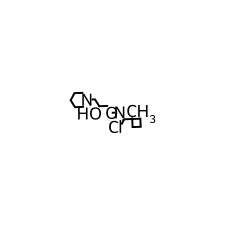 CC1(C(Cl)=NOCC(O)CN2CCCCC2)CCC1